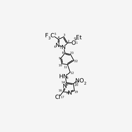 CCOc1cc(C(F)(F)F)nn1-c1ccc(CNc2nc(Cl)ncc2[N+](=O)[O-])cc1